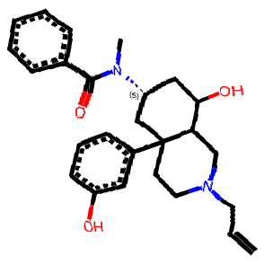 C=CCN1CCC2(c3cccc(O)c3)C[C@H](N(C)C(=O)c3ccccc3)CC(O)C2C1